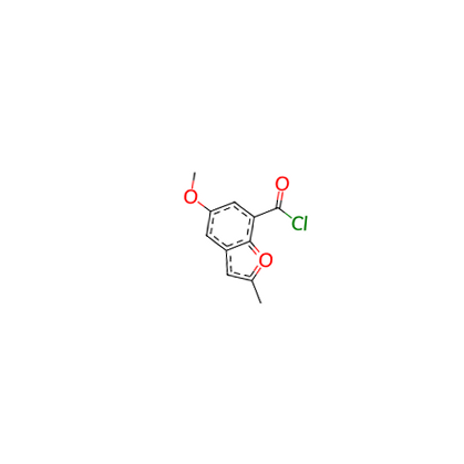 COc1cc(C(=O)Cl)c2oc(C)cc2c1